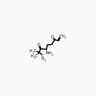 C=CC(=O)CC[C@H](N)C(=O)C(C)(C)C